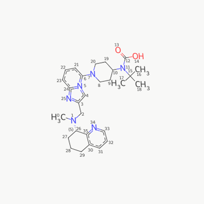 CN(Cc1cn2c(N3CCC(N(C(=O)O)C(C)(C)C)CC3)cccc2n1)[C@H]1CCCc2cccnc21